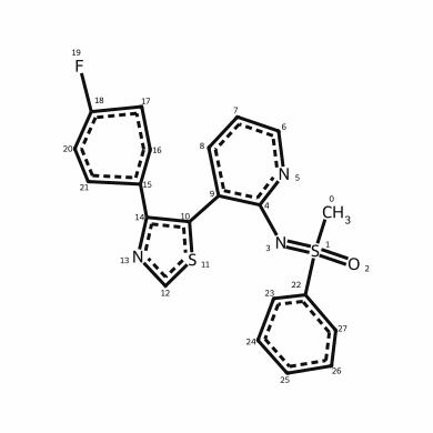 CS(=O)(=Nc1ncccc1-c1scnc1-c1ccc(F)cc1)c1ccccc1